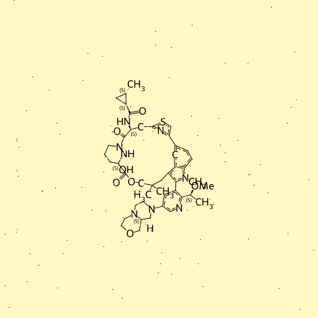 CO[C@@H](C)c1ncc(N2CCN3CCOC[C@@H]3C2)cc1-c1c2c3cc(ccc3n1C)-c1csc(n1)C[C@H](NC(=O)[C@H]1C[C@@H]1C)C(=O)N1CCC[C@@](O)(N1)C(=O)OCC(C)(C)C2